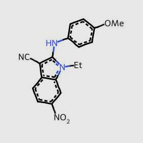 CCn1c(Nc2ccc(OC)cc2)c(C#N)c2ccc([N+](=O)[O-])cc21